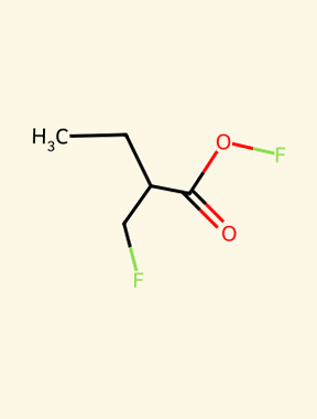 CCC(CF)C(=O)OF